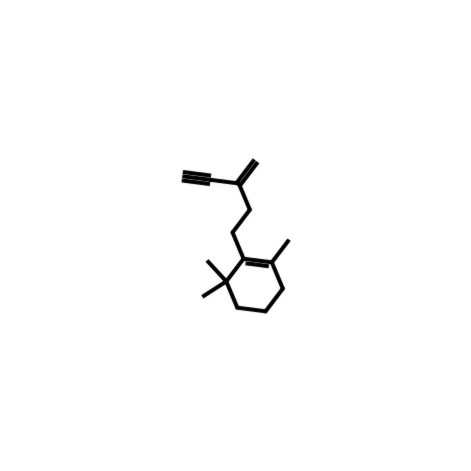 C#CC(=C)CCC1=C(C)CCCC1(C)C